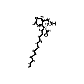 CCCCCCCCCCCC[N+](C)(C=O)c1ccccc1CO